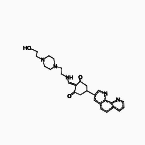 O=C1CC(c2cnc3c(ccc4cccnc43)c2)CC(=O)C1=CNCCN1CCN(CCO)CC1